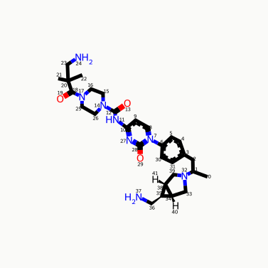 CC(Cc1ccc(-n2ccc(NC(=O)N3CCN(C(=O)C(C)(C)CN)CC3)nc2=O)cc1)N1C[C@@H]2[C@@H](CN)[C@@H]2C1